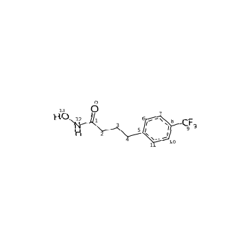 O=C(CCCc1ccc(C(F)(F)F)cc1)NO